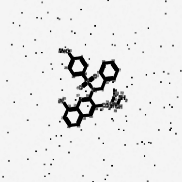 COc1ccc(S(=O)(=O)N(Cc2ccccc2)c2nc3c(C(C)C)cccc3cc2C(=O)O)cc1.NO.NO